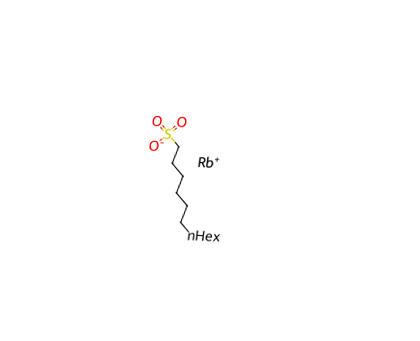 CCCCCCCCCCCCS(=O)(=O)[O-].[Rb+]